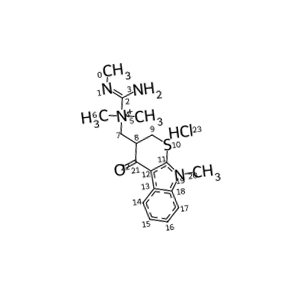 CN=C(N)[N+](C)(C)CC1CSc2c(c3ccccc3n2C)C1=O.Cl